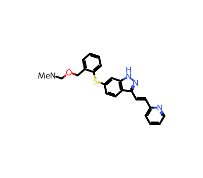 CNCOCc1ccccc1Sc1ccc2c(/C=C/c3ccccn3)n[nH]c2c1